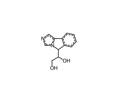 OCC(O)C1c2ccccc2-c2cncn21